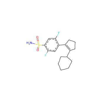 NS(=O)(=O)c1cc(F)c(C2=C(C3CCCCC3)CCC2)cc1F